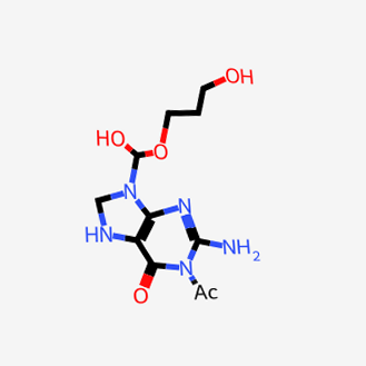 CC(=O)n1c(N)nc2c(c1=O)NCN2C(O)OCCCO